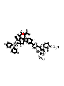 CO[C@@H](C)c1ncccc1-c1c(CC(C)(C)CO[Si](c2ccccc2)(c2ccccc2)C(C)(C)C)c2cc(-c3nc(CC(NC(=O)OC(C)(C)C)C(=O)N4CCCC(C(=O)O)N4)ns3)ccc2n1C(F)C(F)F